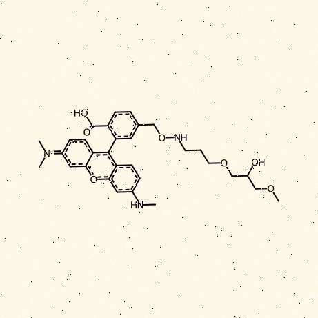 CNc1ccc2c(-c3cc(CONCCCOCC(O)COC)ccc3C(=O)O)c3ccc(=[N+](C)C)cc-3oc2c1